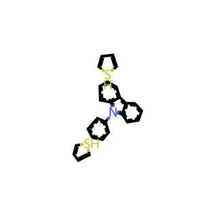 C1=C[SH](c2ccc(-n3c4ccccc4c4cc([SH]5C=CC=C5)ccc43)cc2)C=C1